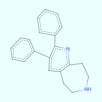 c1ccc(-c2cc3c(nc2-c2ccccc2)CCNCC3)cc1